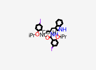 CC(C)Oc1ccc(I)cc1C(=O)NC(CC#N)Cc1c[nH]c2ccccc12.CC(C)Oc1ccc(I)cc1C(=O)O